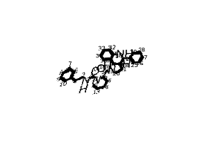 O=C(NCCc1ccccc1)N1CCCC[C@@H]1C(=O)N1CC[C@@H]2[C@H](c3ccccc3)Nc3ccccc3[C@@H]21